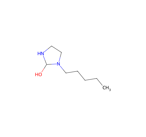 CCCCCN1CCNC1O